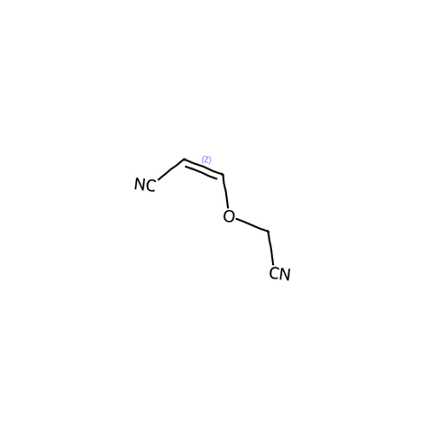 N#C/C=C\OCC#N